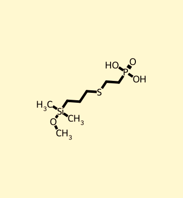 CO[Si](C)(C)CCCSCCP(=O)(O)O